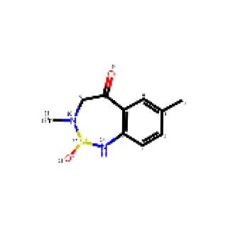 Cc1ccc2c(c1)C(=O)CN(C(C)C)[S+]([O-])N2